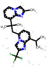 Cc1cn2cccc(C(C)(C)Cc3ccc(C(C)C)c4nc(C(F)(F)F)cn34)c2n1